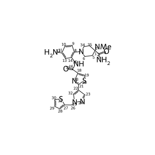 CNC1(C(N)=O)CCN(c2ccc(N)cc2NC(=O)c2csc(-c3cnn(Cc4cccs4)c3)n2)CC1